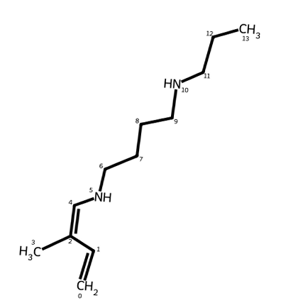 C=C/C(C)=C\NCCCCNCCC